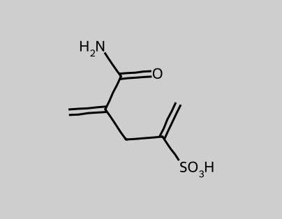 C=C(CC(=C)S(=O)(=O)O)C(N)=O